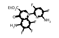 CCOC(=O)c1cn(-c2nc(N)c(F)cc2F)c2c(F)c(F)c(F)c(N)c2c1=O